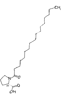 CCCCCCCCCCCCCCCCC(=O)N1CCC[C@H]1C(=O)O